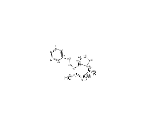 O=C(O)C(CCc1ccccc1)N1CCC[C@H]1C(=O)O